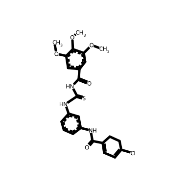 COc1cc(C(=O)NC(=S)Nc2cccc(NC(=O)C3=CC=C(Cl)CC3)c2)cc(OC)c1OC